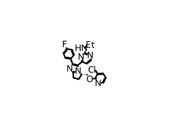 CCNc1nccc(-c2c(-c3ccc(F)cc3)nc3n2[C@H](COc2ncccc2Cl)CC3)n1